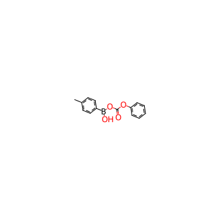 Cc1ccc(B(O)OC(=O)Oc2ccccc2)cc1